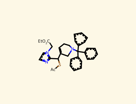 CCOC(=O)Cn1ccnc1C(SC(C)=O)C1=CCCN(C(c2ccccc2)(c2ccccc2)c2ccccc2)C1